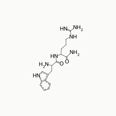 N=C(N)NCCCC(NC(=O)C(N)Cc1c[nH]c2ccccc12)C(N)=O